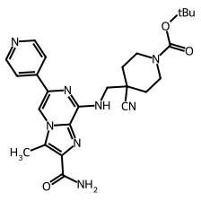 Cc1c(C(N)=O)nc2c(NCC3(C#N)CCN(C(=O)OC(C)(C)C)CC3)nc(-c3ccncc3)cn12